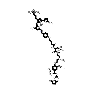 COc1cc(C(C)OC(=O)ON2C(=O)CCC2=O)c([N+](=O)[O-])cc1OCCN(C)CCNC(=O)C(CS(=O)(=O)O)NC(=O)CCCOc1ccc(/C=C/C2=[N+]3C(=Cc4c(CCC[N+](C)(C)C)cc(-c5ccc(C)[nH]5)n4[B-]3(F)F)C(C)=C2)cc1